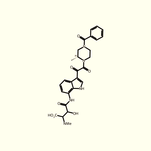 CNC(C(=O)O)C(O)C(=O)Nc1cccc2c(C(=O)C(=O)N3CCN(C(=O)c4ccccc4)C[C@H]3C)c[nH]c12